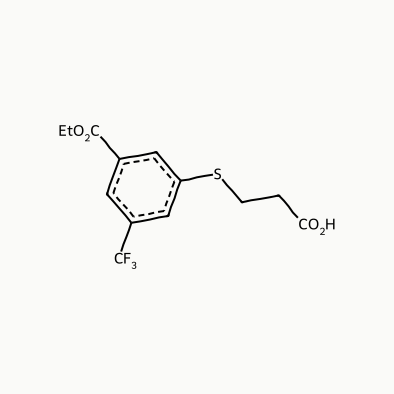 CCOC(=O)c1cc(SCCC(=O)O)cc(C(F)(F)F)c1